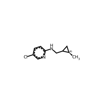 C[C@@H]1CC1CNc1ccc(Cl)cn1